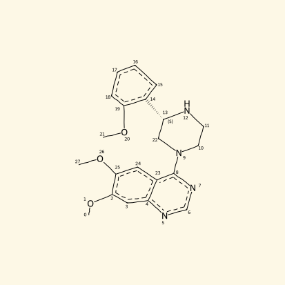 COc1cc2ncnc(N3CCN[C@@H](c4ccccc4OC)C3)c2cc1OC